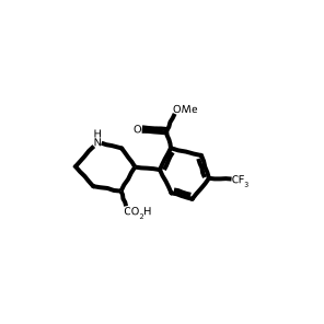 COC(=O)c1cc(C(F)(F)F)ccc1C1CNCCC1C(=O)O